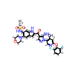 Cc1cc(Oc2c(F)cccc2F)ncc1-n1ncc(C(=O)c2cc3cc(N4CCOCC4)c(NS(C)(=O)=O)cc3[nH]2)c1N